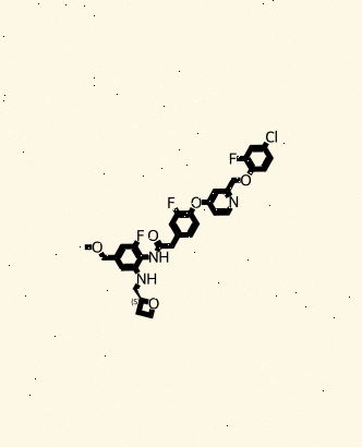 COCc1cc(F)c(NC(=O)Cc2ccc(Oc3ccnc(COc4ccc(Cl)cc4F)c3)c(F)c2)c(NC[C@@H]2CCO2)c1